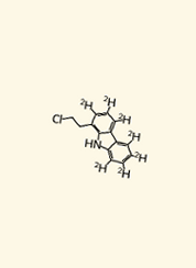 [2H]c1c([2H])c([2H])c2c([nH]c3c(CCCl)c([2H])c([2H])c([2H])c32)c1[2H]